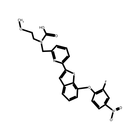 COCCN(Cc1cccc(-c2cc3cccc(Oc4ccc([N+](=O)[O-])cc4F)c3s2)n1)C(=O)O